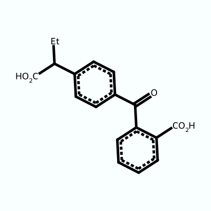 CCC(C(=O)O)c1ccc(C(=O)c2ccccc2C(=O)O)cc1